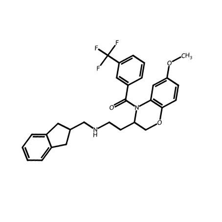 COc1ccc2c(c1)N(C(=O)c1cccc(C(F)(F)F)c1)C(CCNCC1Cc3ccccc3C1)CO2